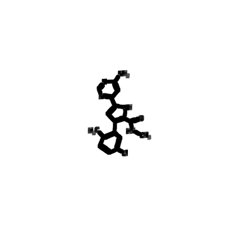 CNC(=O)c1[nH]c(-c2cc(N)ncn2)cc1-c1cc(Cl)ccc1C